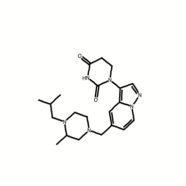 CC(C)CN1CCN(Cc2ccn3ncc(N4CCC(=O)NC4=O)c3c2)CC1C